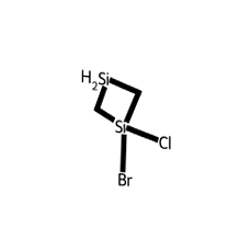 Cl[Si]1(Br)C[SiH2]C1